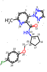 Cc1ccc(-n2nccn2)c(C(=O)N[C@H]2CCC[C@@H]2COc2ccc(F)cc2)n1